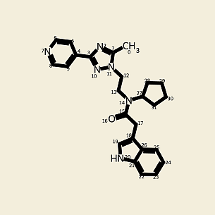 Cc1nc(-c2ccncc2)nn1CCN(C(=O)Cc1c[nH]c2ccccc12)C1CCCC1